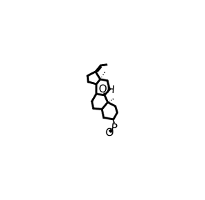 C/C=C1/CCC2C3CCC4C[C@H](P=O)CC[C@]4(C)[C@@]3(O)CC[C@]12C